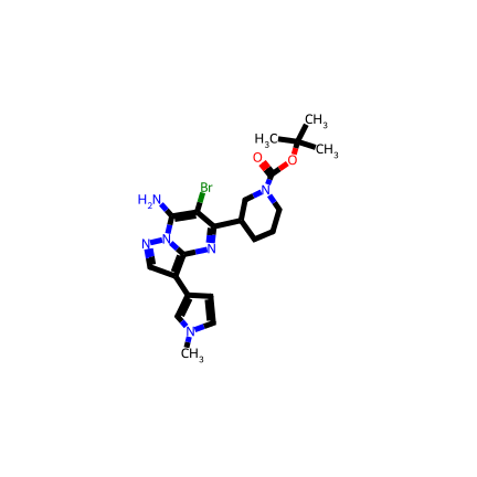 Cn1ccc(-c2cnn3c(N)c(Br)c(C4CCCN(C(=O)OC(C)(C)C)C4)nc23)c1